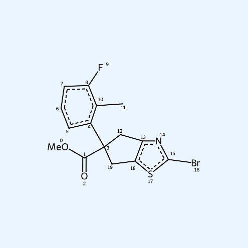 COC(=O)C1(c2cccc(F)c2C)Cc2nc(Br)sc2C1